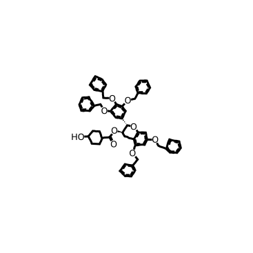 O=C(O[C@@H]1Cc2c(OCc3ccccc3)cc(OCc3ccccc3)cc2O[C@H]1c1cc(OCc2ccccc2)c(OCc2ccccc2)c(OCc2ccccc2)c1)C1CCC(O)CC1